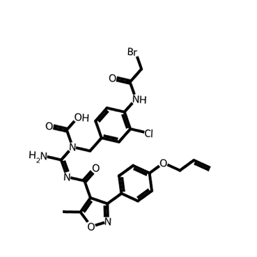 C=CCOc1ccc(-c2noc(C)c2C(=O)N=C(N)N(Cc2ccc(NC(=O)CBr)c(Cl)c2)C(=O)O)cc1